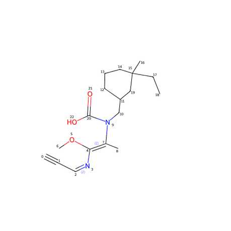 C#C/C=N\C(OC)=C(/C)N(CC1CCCC(C)(CC)C1)C(=O)O